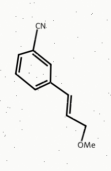 COC/C=C/c1cccc(C#N)c1